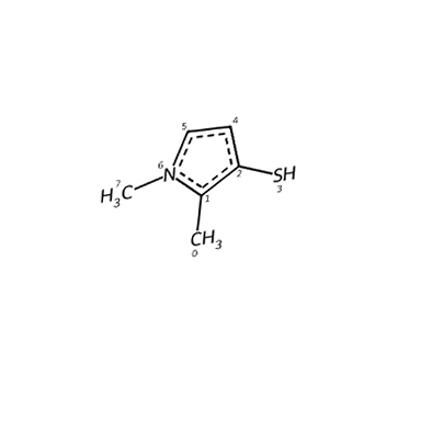 Cc1c(S)ccn1C